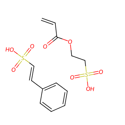 C=CC(=O)OCCS(=O)(=O)O.O=S(=O)(O)C=Cc1ccccc1